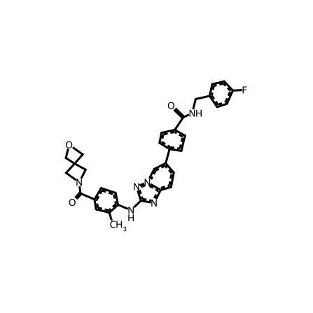 Cc1cc(C(=O)N2CC3(COC3)C2)ccc1Nc1nc2ccc(-c3ccc(C(=O)NCc4ccc(F)cc4)cc3)cn2n1